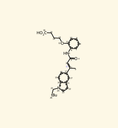 C/C(=C\C(=O)Nc1ccccc1OCCCC(=O)O)c1ccc2c(ccn2CC(C)(C)C)c1